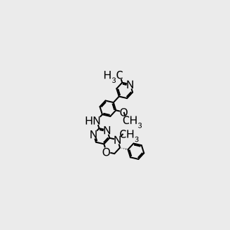 COc1cc(Nc2ncc3c(n2)N(C)[C@H](c2ccccc2)CO3)ccc1-c1ccnc(C)c1